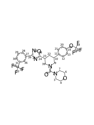 O=C(N1CCOCC1)N1CC(c2ccc(OC(F)(F)F)cc2)CC(c2nc(-c3cccc(C(F)(F)F)c3)no2)C1